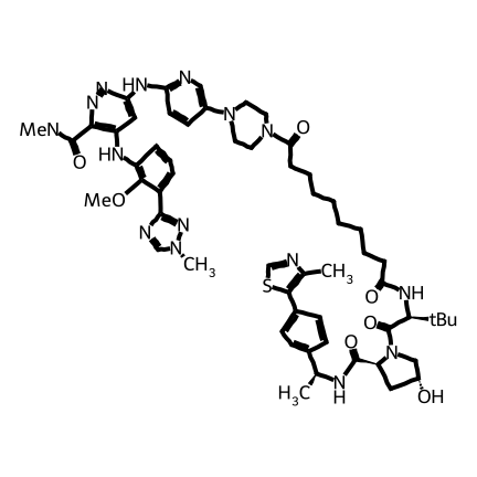 CNC(=O)c1nnc(Nc2ccc(N3CCN(C(=O)CCCCCCCCC(=O)N[C@H](C(=O)N4C[C@H](O)C[C@H]4C(=O)N[C@@H](C)c4ccc(-c5scnc5C)cc4)C(C)(C)C)CC3)cn2)cc1Nc1cccc(-c2ncn(C)n2)c1OC